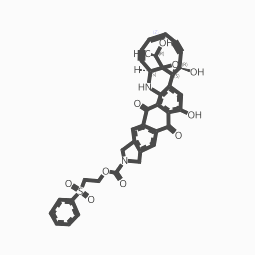 C[C@@H](O)C12O[C@]13c1cc(O)c4c(c1N[C@H]2C#C/C=C\C#C[C@H]3O)C(=O)c1cc2c(cc1C4=O)CN(C(=O)OCCS(=O)(=O)c1ccccc1)C2